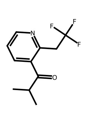 CC(C)C(=O)c1cccnc1CC(F)(F)F